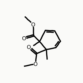 COC(=O)C1(C)C=CC=CC1(C)C(=O)OC